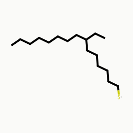 CCCCCCCCC(CC)CCCCCC[S]